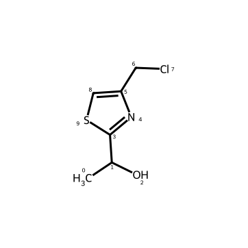 CC(O)c1nc(CCl)cs1